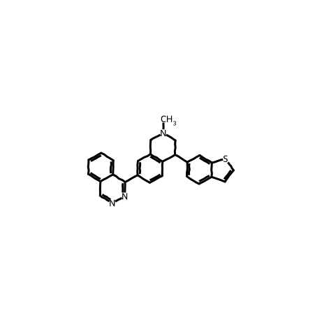 CN1Cc2cc(-c3nncc4ccccc34)ccc2C(c2ccc3ccsc3c2)C1